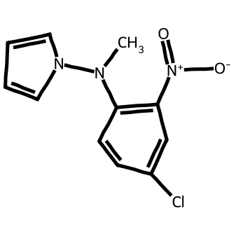 CN(c1ccc(Cl)cc1[N+](=O)[O-])n1cccc1